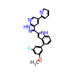 COc1cc(F)cc(-c2cccc3[nH]c(-c4n[nH]c5ncc(-c6ccccn6)cc45)cc23)c1